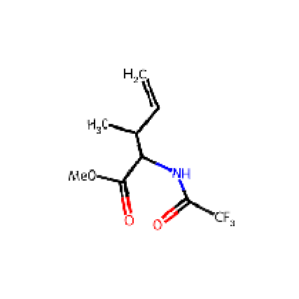 C=CC(C)C(NC(=O)C(F)(F)F)C(=O)OC